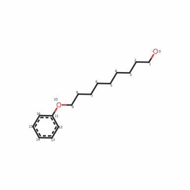 [O]CCCCCCCCCOc1ccccc1